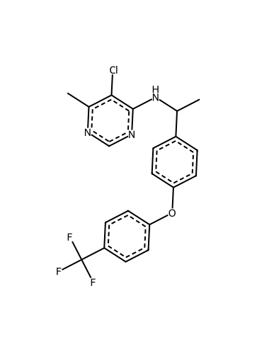 Cc1ncnc(NC(C)c2ccc(Oc3ccc(C(F)(F)F)cc3)cc2)c1Cl